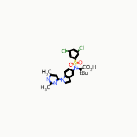 Cc1cc(-n2ccc3cc(N(C(C(=O)O)C(C)(C)C)S(=O)(=O)c4cc(Cl)cc(Cl)c4)ccc32)nc(C)n1